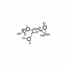 CCCN(CCC)C(=O)c1cc(C)cc(C(=O)N(CCc2cc(F)cc(Cl)c2)C[C@H](O)CN[C@H]2CS(O)(O)Cc3ccc(CC)cc32)c1